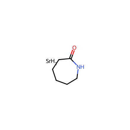 O=C1CCCCCN1.[SrH2]